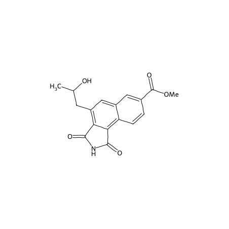 COC(=O)c1ccc2c3c(c(CC(C)O)cc2c1)C(=O)NC3=O